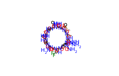 CCCC[C@H]1C(=O)N(C)[C@@H](CCCC)C(=O)N[C@@H](CCCNC(=N)N)C(=O)N[C@H](C(=O)NCC(N)=O)CSCC(=O)N[C@@H](Cc2ccc(C(F)F)cc2)C(=O)N(C)[C@@H](C)C(=O)N[C@@H](CC(N)=O)C(=O)N2CCC[C@H]2C(=O)N[C@@H](Cc2ccc[nH]2)C(=O)N[C@@H](CC(C)C)C(=O)N2CCC[C@H]2C(=O)N[C@@H](Cc2c[nH]c3ccccc23)C(=O)N[C@@H](CO)C(=O)N[C@@H](Cc2csc3ccccc23)C(=O)N1C